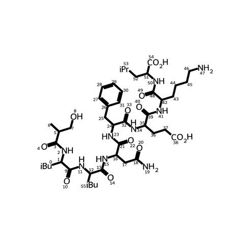 CCC(C)C(NC(=O)C(C)CO)C(=O)NC(C(=O)NC(CC(N)=O)C(=O)NC(Cc1ccccc1)C(=O)NC(CCC(=O)O)C(=O)NC(CCCCN)C(=O)NC(CC(C)C)C(=O)O)C(C)CC